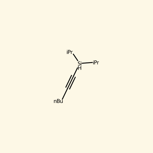 CCCCC#C[SiH](C(C)C)C(C)C